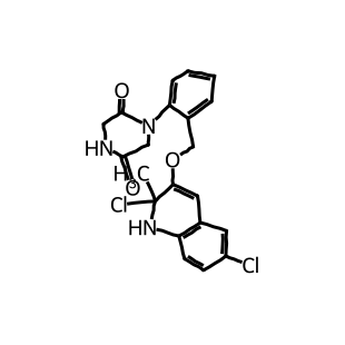 CC1(Cl)Nc2ccc(Cl)cc2C=C1OCc1ccccc1N1CC(=O)NCC1=O